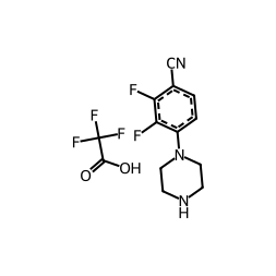 N#Cc1ccc(N2CCNCC2)c(F)c1F.O=C(O)C(F)(F)F